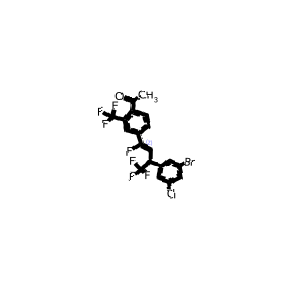 CC(=O)c1ccc(/C(F)=C/C(c2cc(Cl)cc(Br)c2)C(F)(F)F)cc1C(F)(F)F